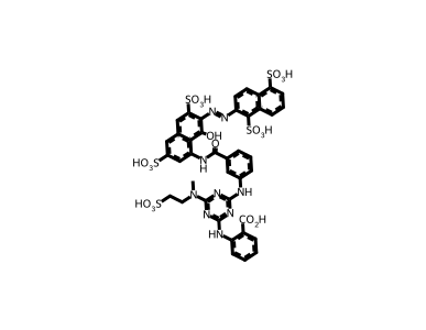 CN(CCS(=O)(=O)O)c1nc(Nc2cccc(C(=O)Nc3cc(S(=O)(=O)O)cc4cc(S(=O)(=O)O)c(/N=N/c5ccc6c(S(=O)(=O)O)cccc6c5S(=O)(=O)O)c(O)c34)c2)nc(Nc2ccccc2C(=O)O)n1